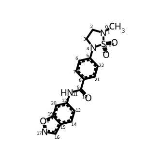 CN1CCN(c2ccc(C(=O)Nc3ccc4cnoc4c3)cc2)S1(=O)=O